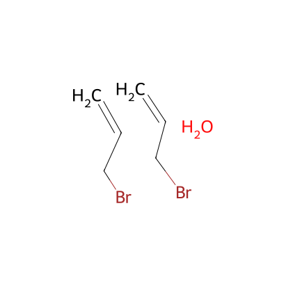 C=CCBr.C=CCBr.O